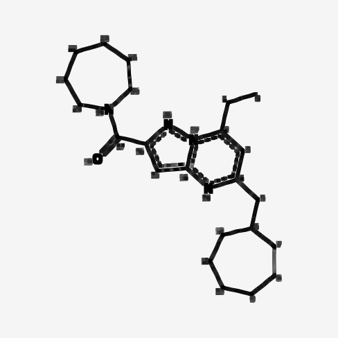 CCc1cc(CC2CCCCCC2)nc2cc(C(=O)N3CCCCCC3)nn12